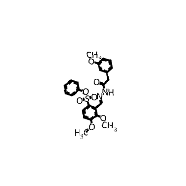 COc1cccc(CC(=O)N/N=C/c2c(S(=O)(=O)Oc3ccccc3)ccc(OC)c2OC)c1